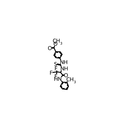 COC(=O)c1ccc(NC(=S)NC(C(=O)Nc2ccccc2C)C(F)(F)F)cc1